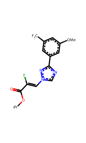 COc1cc(-c2ncn(C=C(F)C(=O)OC(C)C)n2)cc(C(F)(F)F)c1